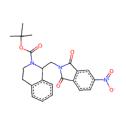 CC(C)(C)OC(=O)N1CCc2ccccc2C1CN1C(=O)c2ccc([N+](=O)[O-])cc2C1=O